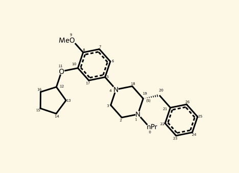 CCCN1CCN(c2ccc(OC)c(OC3CCCC3)c2)C[C@@H]1Cc1ccccc1